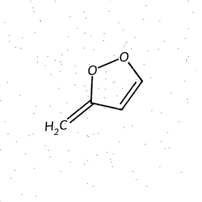 C=C1C=COO1